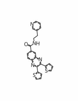 O=C(NCCc1cccnc1)c1ccc2nc(-c3cccs3)c(-c3cccs3)nc2c1